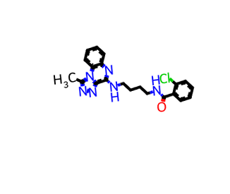 Cc1nnc2c(NCCCCNC(=O)c3ccccc3Cl)nc3ccccc3n12